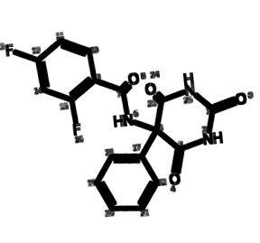 O=C1NC(=O)C(NC(=O)c2ccc(F)cc2F)(c2ccccc2)C(=O)N1